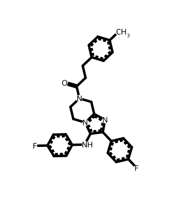 Cc1ccc(CCC(=O)N2CCn3c(nc(-c4ccc(F)cc4)c3Nc3ccc(F)cc3)C2)cc1